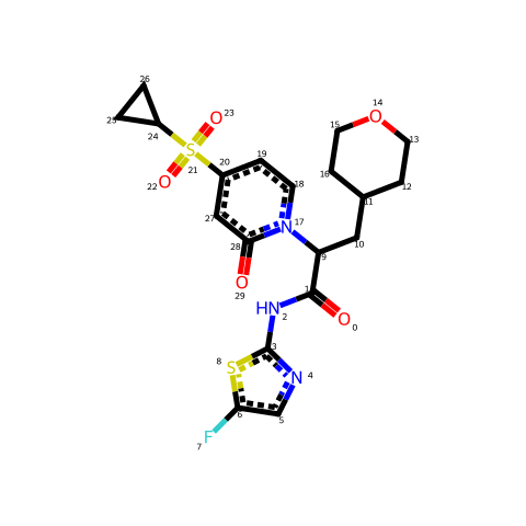 O=C(Nc1ncc(F)s1)C(CC1CCOCC1)n1ccc(S(=O)(=O)C2CC2)cc1=O